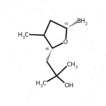 B[C@H]1CC(C)[C@@H](CC(C)(C)O)O1